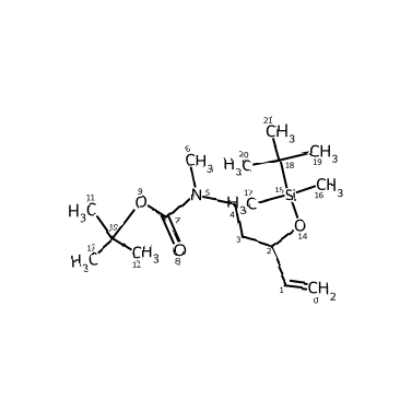 C=CC(CCN(C)C(=O)OC(C)(C)C)O[Si](C)(C)C(C)(C)C